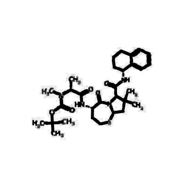 C[C@@H](C(=O)N[C@H]1CCSC2CC(C)(C)C(C(=O)N[C@@H]3CCCc4ccccc43)N2C1=O)N(C)C(=O)OC(C)(C)C